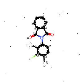 Cc1c(N2C(=O)c3ccccc3C2=O)ccc(C#N)c1F